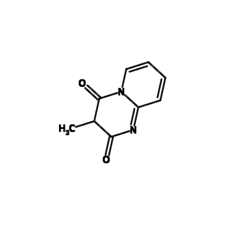 CC1C(=O)N=C2C=CC=CN2C1=O